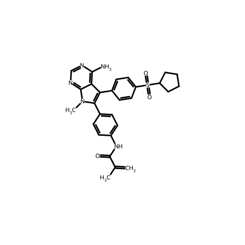 C=C(C)C(=O)Nc1ccc(-c2c(-c3ccc(S(=O)(=O)C4CCCC4)cc3)c3c(N)ncnc3n2C)cc1